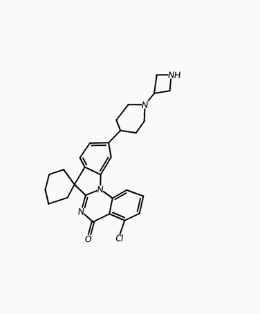 O=c1nc2n(c3cccc(Cl)c13)-c1cc(C3CCN(C4CNC4)CC3)ccc1C21CCCCC1